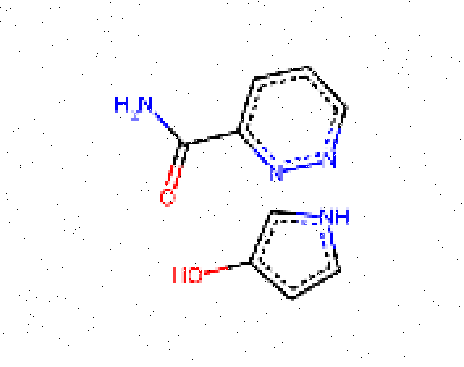 NC(=O)c1cccnn1.Oc1cc[nH]c1